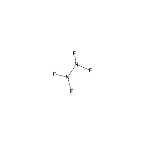 FN(F)N(F)F